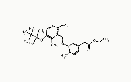 CCOC(=O)Cc1ccc(C)c(OCc2c(C)ccc(O[Si](C)(C)C(C)(C)C)c2C)c1